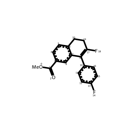 COC(=O)c1ccc2c(c1)C(c1ccc(F)cc1)=C(F)CC2